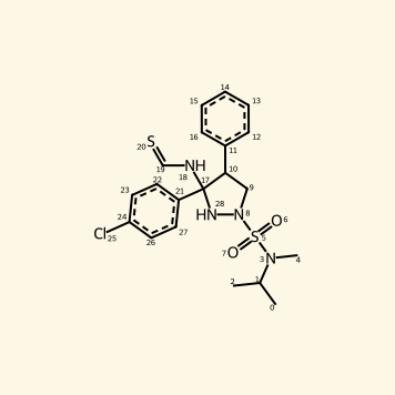 CC(C)N(C)S(=O)(=O)N1CC(c2ccccc2)C(NC=S)(c2ccc(Cl)cc2)N1